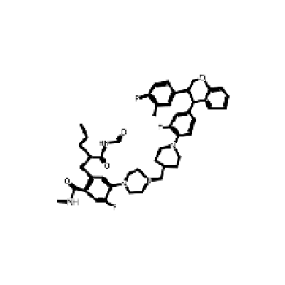 CCCC(Cc1cc(N2CCN(CC3CCN(c4ccc(C5c6ccccc6OCC5c5ccc(F)c(C)c5)cc4F)CC3)CC2)c(F)cc1C(=O)NC)C(=O)NC=O